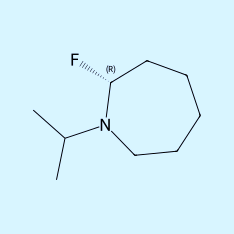 CC(C)N1CCCCC[C@H]1F